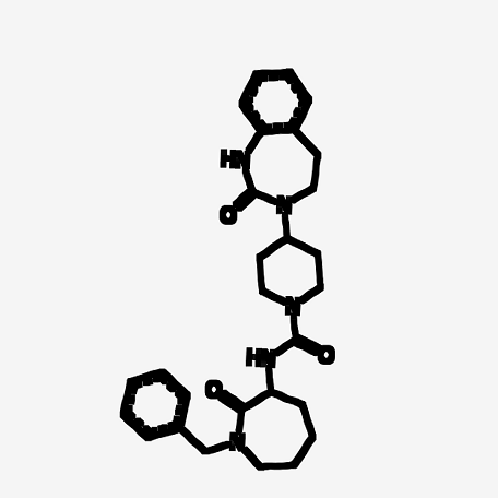 O=C(NC1CCCCN(Cc2ccccc2)C1=O)N1CCC(N2CCc3ccccc3NC2=O)CC1